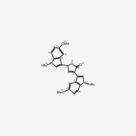 CCCCn1cc(C2=CC(c3cn(CCCC)c4ccc(OC)cc34)OC2=O)c2cc(OC)ccc21